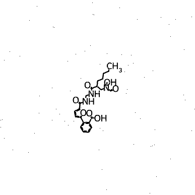 CCCCCC(CN(O)C=O)C(=O)NCNC(=O)c1ccc(-c2ccccc2C(=O)O)o1